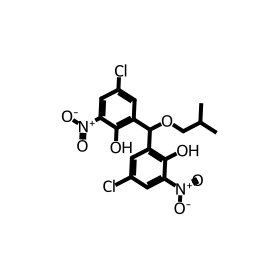 CC(C)COC(c1cc(Cl)cc([N+](=O)[O-])c1O)c1cc(Cl)cc([N+](=O)[O-])c1O